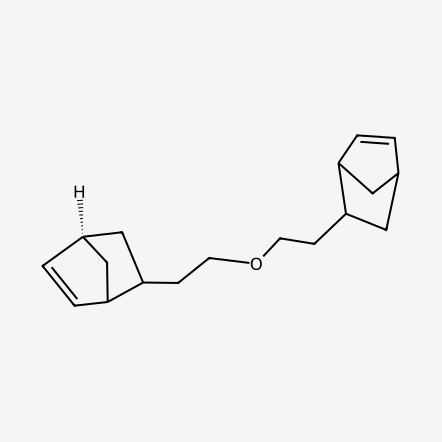 C1=CC2CC1CC2CCOCCC1C[C@@H]2C=CC1C2